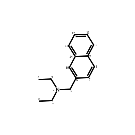 CCN(CC)Cc1ccc2ccccc2c1